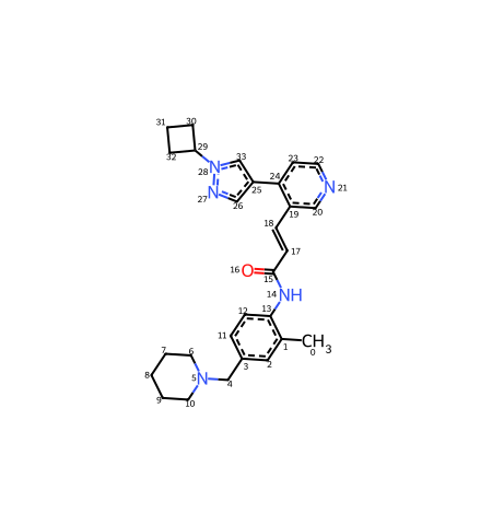 Cc1cc(CN2CCCCC2)ccc1NC(=O)/C=C/c1cnccc1-c1cnn(C2CCC2)c1